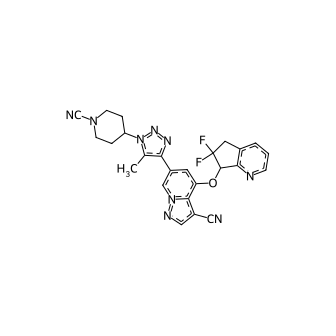 Cc1c(-c2cc(OC3c4ncccc4CC3(F)F)c3c(C#N)cnn3c2)nnn1C1CCN(C#N)CC1